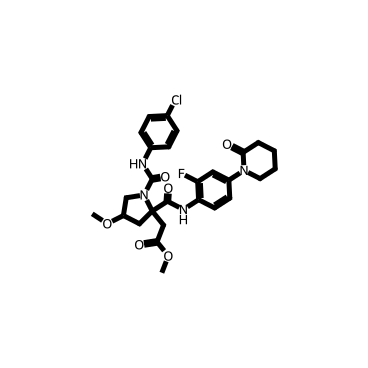 COC(=O)CC1(C(=O)Nc2ccc(N3CCCCC3=O)cc2F)CC(OC)CN1C(=O)Nc1ccc(Cl)cc1